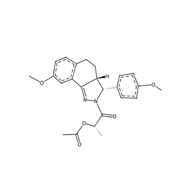 COc1ccc([C@H]2[C@H]3CCc4ccc(OC)cc4C3=NN2C(=O)[C@H](C)OC(C)=O)cc1